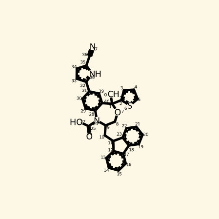 CC1(c2cccs2)OCC(CC2c3ccccc3-c3ccccc32)N(C(=O)O)c2ccc(-c3ccc(C#N)[nH]3)cc21